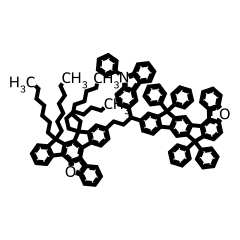 CCCCCCCC1(CCCCCCC)c2ccccc2-c2c1c1c(c3c2oc2ccccc23)-c2ccc(CCC(c3ccc4c(c3)C(c3ccccc3)(c3ccccc3)c3cc5c(cc3-4)C(c3ccccc3)(c3ccccc3)c3ccc4oc6ccccc6c4c3-5)c3ccc4c(c3)c3ccccc3n4-c3ccccc3)cc2C1(CCCCCCC)CCCCCCC